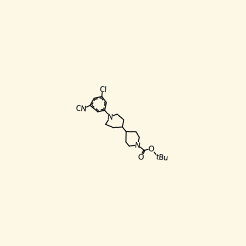 [C-]#[N+]c1cc(Cl)cc(N2CCC(C3CCN(C(=O)OC(C)(C)C)CC3)CC2)c1